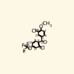 COc1ccc(C([O])c2ccc(OC(F)(F)F)cc2Cl)cc1Cl